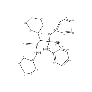 O=C(NC1CCCCC1)C(C1CCCCC1)C1(Cc2ccccc2)Nc2ccccc2N1